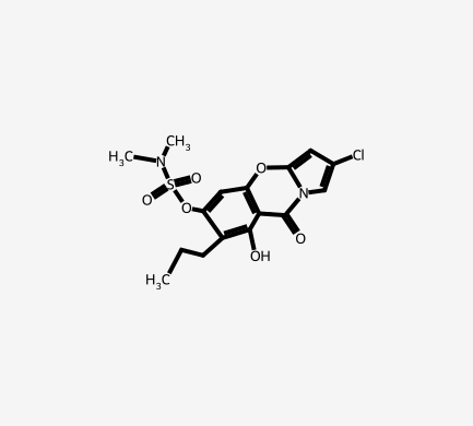 CCCc1c(OS(=O)(=O)N(C)C)cc2oc3cc(Cl)cn3c(=O)c2c1O